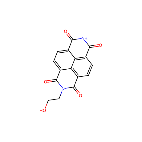 O=C1NC(=O)c2ccc3c4c(ccc1c24)C(=O)N(CCO)C3=O